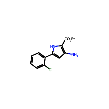 CCOC(=O)c1[nH]c(-c2ccccc2Cl)cc1N